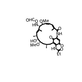 CCC(=O)NC1=C2C[C@@H](C)C[C@H](OC)[C@H](O)[C@@H](C)/C=C(\C)[C@H](NOC=O)[C@@H](OC)/C=C\C=C(/C)C(=O)NC(=CC1=O)C2=O